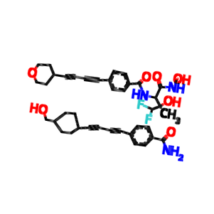 CC(O)(C(F)F)C(NC(=O)c1ccc(C#CC#CC2CCOCC2)cc1)C(=O)NO.NC(=O)c1ccc(C#CC#CC2CCC(CO)CC2)cc1